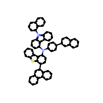 c1ccc2cc(-c3ccc(N(c4ccc(-c5cc6ccccc6c6ccccc56)c5sc6ccccc6c45)c4cccc5c4c4ccccc4n5-c4cccc5ccccc45)cc3)ccc2c1